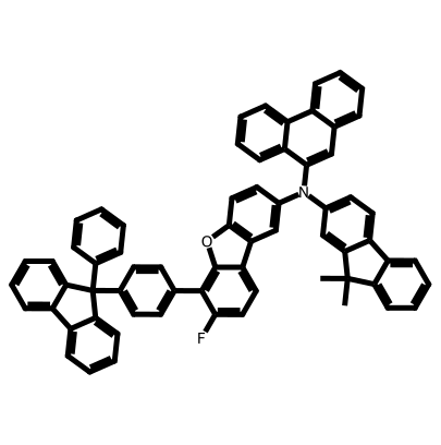 CC1(C)c2ccccc2-c2ccc(N(c3ccc4oc5c(-c6ccc(C7(c8ccccc8)c8ccccc8-c8ccccc87)cc6)c(F)ccc5c4c3)c3cc4ccccc4c4ccccc34)cc21